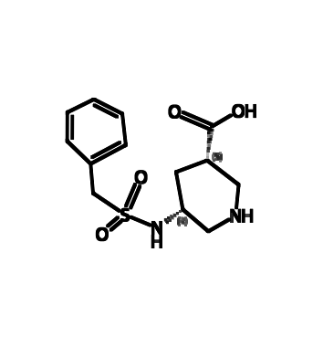 O=C(O)[C@@H]1CNC[C@H](NS(=O)(=O)Cc2ccccc2)C1